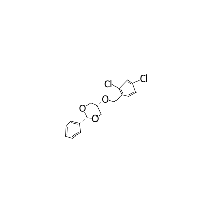 Clc1ccc(CO[C@H]2CO[C@@H](c3ccccc3)OC2)c(Cl)c1